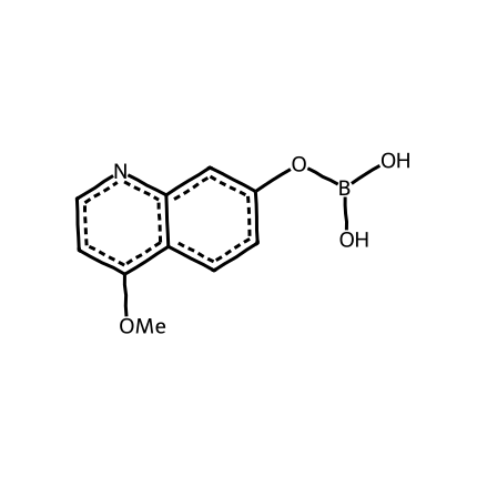 COc1ccnc2cc(OB(O)O)ccc12